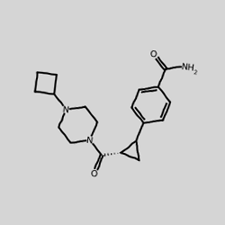 NC(=O)c1ccc(C2C[C@@H]2C(=O)N2CCN(C3CCC3)CC2)cc1